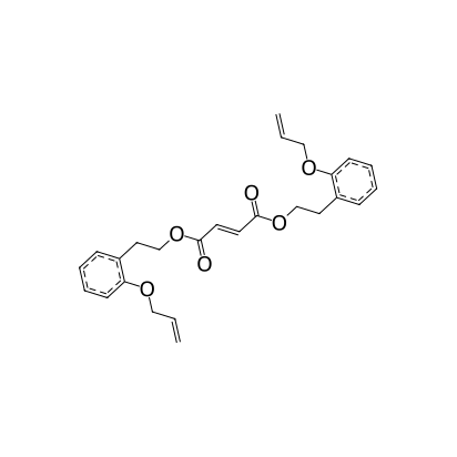 C=CCOc1ccccc1CCOC(=O)C=CC(=O)OCCc1ccccc1OCC=C